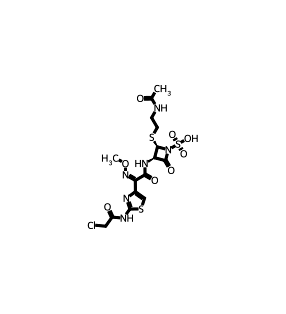 CON=C(C(=O)N[C@@H]1C(=O)N(S(=O)(=O)O)[C@@H]1SCCNC(C)=O)c1csc(NC(=O)CCl)n1